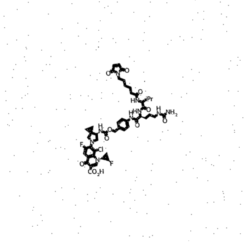 CC(C)C(NC(=O)CCCCCN1C(=O)C=CC1=O)C(=O)N[C@@H](CCCNC(N)=O)C(=O)Nc1ccc(COC(=O)N[C@@H]2CN(c3c(F)cc4c(=O)c(C(=O)O)cn([C@@H]5C[C@@H]5F)c4c3Cl)CC23CC3)cc1